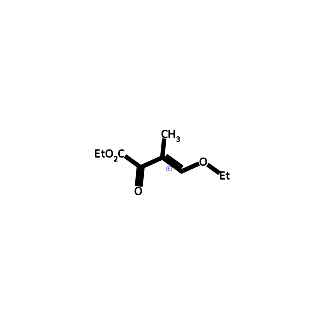 CCO/C=C(\C)C(=O)C(=O)OCC